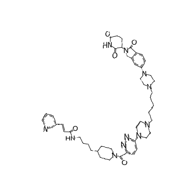 O=C(/C=C/c1cccnc1)NCCCCC1CCN(C(=O)c2ccc(N3CCN(CCCCCN4CCN(c5ccc6c(c5)CN(C5CCC(=O)NC5=O)C6=O)CC4)CC3)nn2)CC1